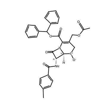 CC(=O)OCC1=C(C(=O)OC(c2ccccc2)c2ccccc2)N2C(=O)[C@@H](NC(=O)c3ccc(C)cc3)[C@@H]2[S+]([O-])C1